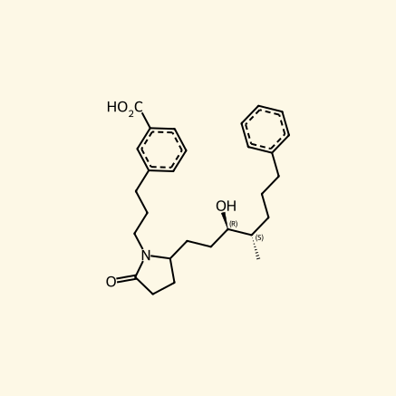 C[C@@H](CCCc1ccccc1)[C@H](O)CCC1CCC(=O)N1CCCc1cccc(C(=O)O)c1